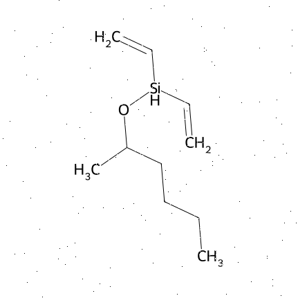 C=C[SiH](C=C)OC(C)CCCC